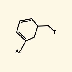 CC(=O)C1=CC=CC(CF)C1